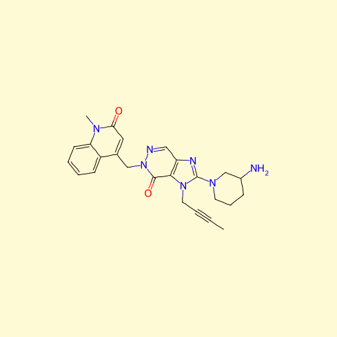 CC#CCn1c(N2CCCC(N)C2)nc2cnn(Cc3cc(=O)n(C)c4ccccc34)c(=O)c21